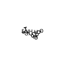 C[C@H](CC(=O)N[C@H](c1cccs1)C1CC1)C1CC[C@H]2C3C(=O)CC4CC(=O)CCC4(C)[C@H]3CCC12C